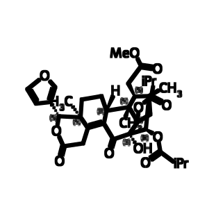 COC(=O)C[C@H]1C2(C)C[C@@]3(OC(=O)C(C)C)[C@]1(C)[C@H]1CC[C@@]4(C)C(=C1C(=O)[C@]3(O)[C@@H]2OC(=O)C(C)C)CC(=O)O[C@@H]4c1ccoc1